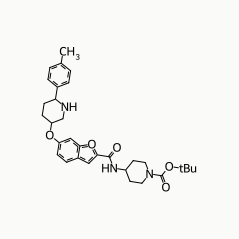 Cc1ccc(C2CCC(Oc3ccc4cc(C(=O)NC5CCN(C(=O)OC(C)(C)C)CC5)oc4c3)CN2)cc1